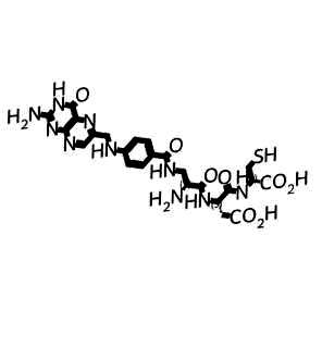 Nc1nc2ncc(CNc3ccc(C(=O)NC[C@H](N)C(=O)N[C@@H](CC(=O)O)C(=O)N[C@@H](CS)C(=O)O)cc3)nc2c(=O)[nH]1